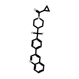 O=C(C1CC1)N1CCC(C(F)(F)c2ccc(-c3cnc4ccccc4c3)cc2)CC1